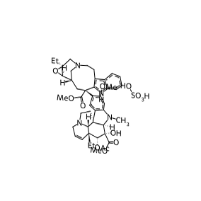 CC[C@]12CN3CCc4c([nH]c5ccccc45)[C@@](C(=O)OC)(c4cc5c(cc4OC)N(C)[C@H]4[C@@](O)(C(=O)OC)[C@H](OC(C)=O)[C@]6(CC)C=CCN7CC[C@]54[C@@H]76)C[C@@H](C3)[C@H]1O2.O=S(=O)(O)O